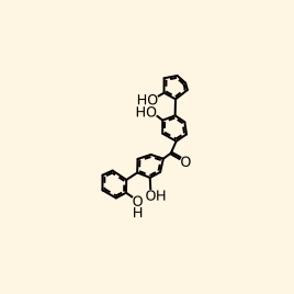 O=C(c1ccc(-c2ccccc2O)c(O)c1)c1ccc(-c2ccccc2O)c(O)c1